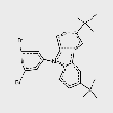 CC(C)(C)c1ccc2c(c1)c1cc(C(C)(C)C)ccc1n2-c1cc(Br)cc(Br)c1